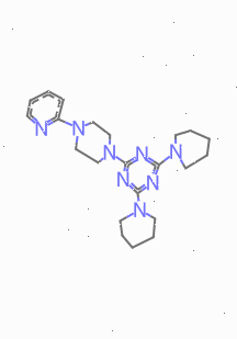 c1ccc(N2CCN(c3nc(N4CCCCC4)nc(N4CCCCC4)n3)CC2)nc1